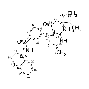 C=CC[C@H](c1cccc(C(=O)N[C@H]2CCOc3ccccc32)c1)N1C(=N)NC(CC)(CC)CC1=O